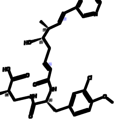 COc1ccc(C[C@@H](NC(=O)/C=C/C[C@H](O)[C@H](C)/C=C/c2cnccn2)C(=O)NC[C@@H](C)C(=O)O)cc1Cl